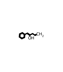 C=CCC(O)=Cc1ccccc1